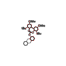 COc1cc(C(C)(C)C)c2op(Oc3cccc4c3C3c5ccccc5C4c4cccc(Op5oc6c(C(C)(C)C)cc(OC)cc6c6cc(OC)cc(C(C)(C)C)c6o5)c43)oc3c(C(C)(C)C)cc(OC)cc3c2c1